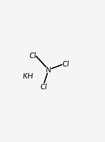 ClN(Cl)Cl.[KH]